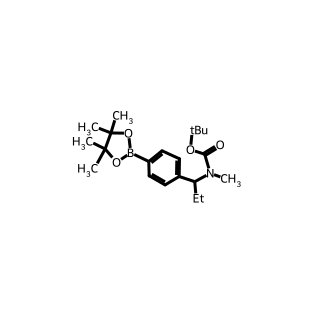 CCC(c1ccc(B2OC(C)(C)C(C)(C)O2)cc1)N(C)C(=O)OC(C)(C)C